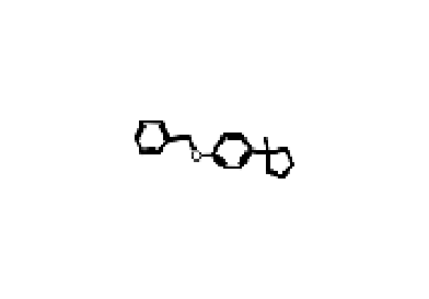 CC1(c2ccc(OCc3ccccc3)cc2)CCCC1